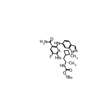 C[C@H](NC(=O)OC(C)(C)C)[C@H](Nc1nc(Nc2ccc3cnn(C)c3c2)c(C(N)=O)cc1F)C1CCC1